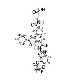 O=C(O)CCNC(=O)c1ccc(CN(C(=O)Nc2nc3ccc4c(c3s2)OC(F)(F)C(F)(F)O4)c2ccc(C3CCCCC3)cc2)cc1